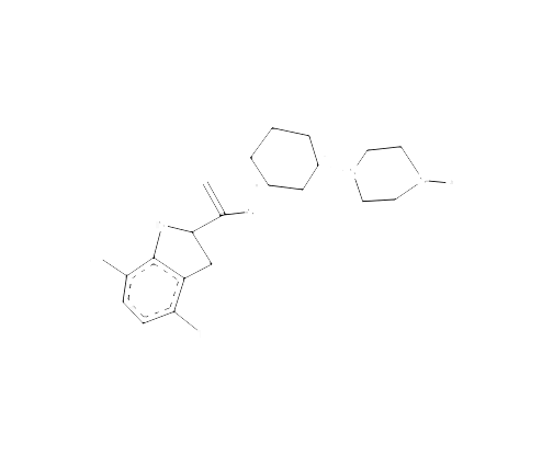 CC(=O)N1CCN([C@H]2CCC[C@@H](NC(=O)C3Cc4c(F)ccc(C)c4N3)C2)CC1